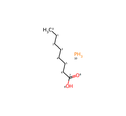 CCCCCCCC(=O)O.P